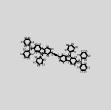 C(#Cc1ccc2c3ccc(N(c4ccccc4)c4ccccc4)cc3n(-c3ccccc3)c2c1)c1ccc2c3ccc(N(c4ccccc4)c4ccccc4)cc3n(-c3ccccc3)c2c1